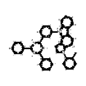 Cc1ccccc1-n1ccc2c1ccc1c3ccccc3n(-c3cccc(-c4nc(-c5ccccc5)nc(-c5ccccc5)n4)c3)c12